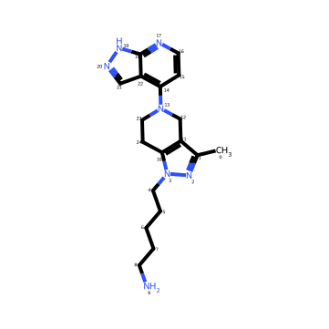 Cc1nn(CCCCCN)c2c1CN(c1ccnc3[nH]ncc13)CC2